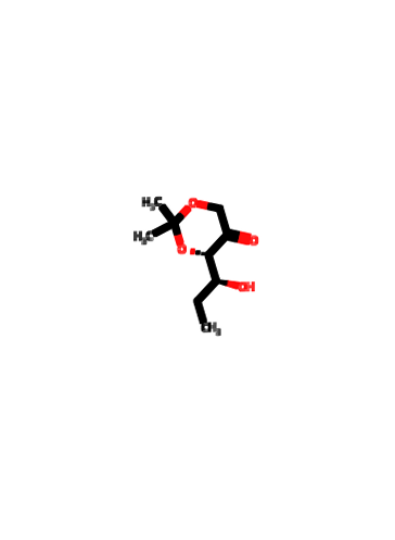 CC[C@H](O)[C@@H]1OC(C)(C)OCC1=O